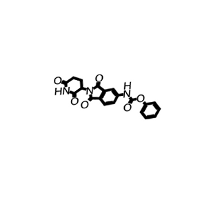 O=C1CCC(N2C(=O)c3ccc(NC(=O)Oc4ccccc4)cc3C2=O)C(=O)N1